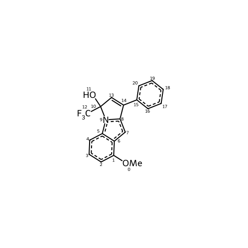 COc1cccc2c1cc1n2C(O)(C(F)(F)F)C=C1c1ccccc1